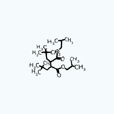 CC(C)COC(=O)C(CC(C)(C)C)C(CC(C)(C)C)C(=O)OCC(C)C